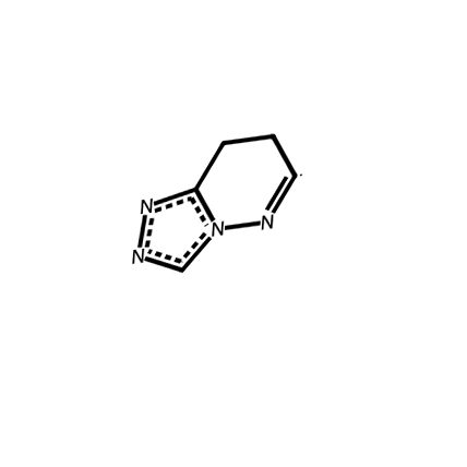 [C]1=Nn2cnnc2CC1